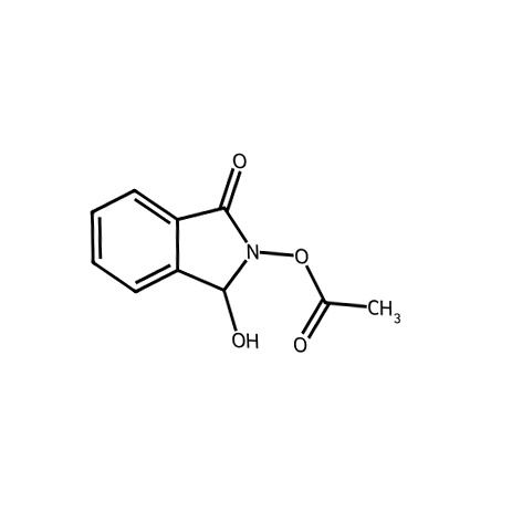 CC(=O)ON1C(=O)c2ccccc2C1O